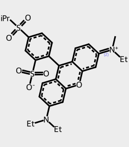 CCN(CC)c1ccc2c(-c3ccc(S(=O)(=O)C(C)C)cc3S(=O)(=O)[O-])c3cc/c(=[N+](\C)CC)cc-3oc2c1